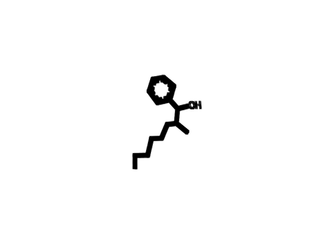 CCCCCCC(C)C(O)c1ccccc1